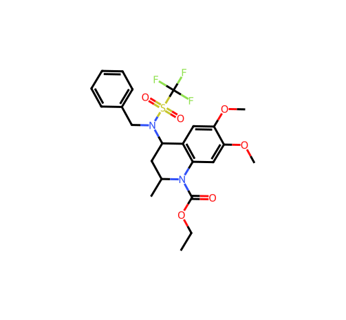 CCOC(=O)N1c2cc(OC)c(OC)cc2C(N(Cc2ccccc2)S(=O)(=O)C(F)(F)F)CC1C